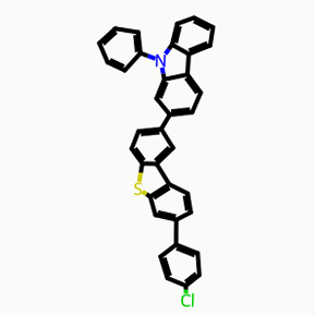 Clc1ccc(-c2ccc3c(c2)sc2ccc(-c4ccc5c6ccccc6n(-c6ccccc6)c5c4)cc23)cc1